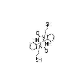 O=C1NC2(c3ccccc3)N(CCCS)C(=O)NC2(c2ccccc2)N1CCCS